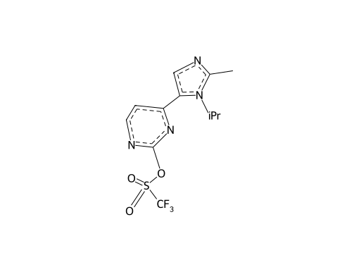 Cc1ncc(-c2ccnc(OS(=O)(=O)C(F)(F)F)n2)n1C(C)C